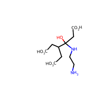 NCCNC(O)(CC(=O)O)[C](CC(=O)O)CC(=O)O